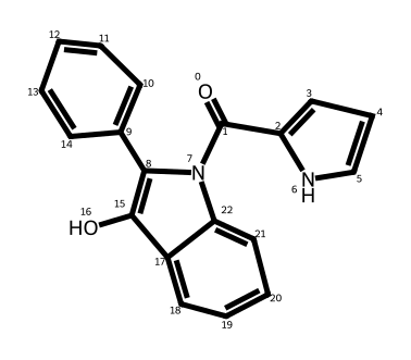 O=C(c1ccc[nH]1)n1c(-c2ccccc2)c(O)c2ccccc21